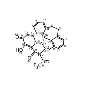 C[C@@H](N1CN([C@@H]2c3ccccc3CCc3cccc(F)c32)n2ccc(=O)c(O)c2C1=O)C(F)(F)F